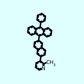 Cc1ncccc1-c1ccc2cc(-c3c4ccccc4c(-c4ccccc4)c4ccccc34)ccc2c1